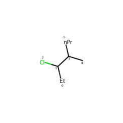 [CH2]CC(Cl)C(C)CCC